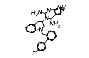 NC1=Nc2[nH]ncc2C(N)N1C1Cc2ccccc2N(Cc2ccccc2-c2ccc(F)cc2)C1